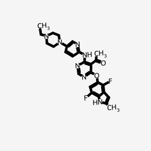 CCN1CCN(c2ccc(Nc3ncnc(Oc4cc(F)c5[nH]c(C)cc5c4F)c3C(C)=O)nc2)CC1